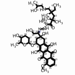 CCC(C)(CNCC(C)O)CC(C)(C)C(=O)S(=P)N/N=C(/CO)[C@]1(O)Cc2c(O)c3c(c(O)c2[C@@H](OC2CCC(O)C(C)O2)C1)C(=O)c1c(OC)cccc1C3=O